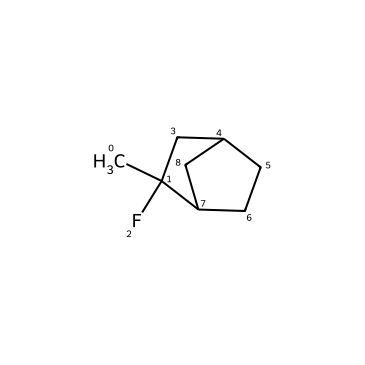 CC1(F)CC2CCC1C2